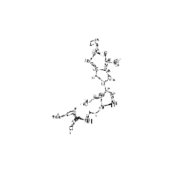 CC(C)(C)OC(=O)NCCn1nnc(C2Cc3cc(Cl)cc(Br)c3O2)c1CO